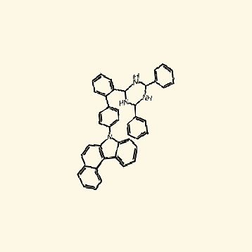 c1ccc(C2NC(c3ccccc3)NC(c3ccccc3-c3ccc(-n4c5ccccc5c5c6ccccc6ccc54)cc3)N2)cc1